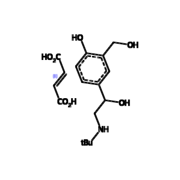 CC(C)(C)NCC(O)c1ccc(O)c(CO)c1.O=C(O)/C=C/C(=O)O